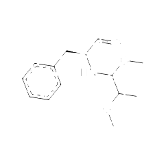 COC(C)C(N[C@H](C=O)Cc1ccccc1)OC